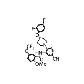 COc1ccc(OC(F)(F)F)cc1C(=O)Nc1cc(C#N)ccc1N1CCC(Oc2ccc(F)cc2F)CC1